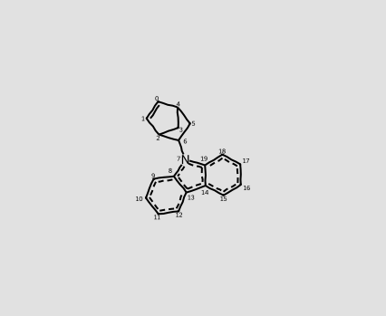 C1=CC2CC1CC2n1c2ccccc2c2ccccc21